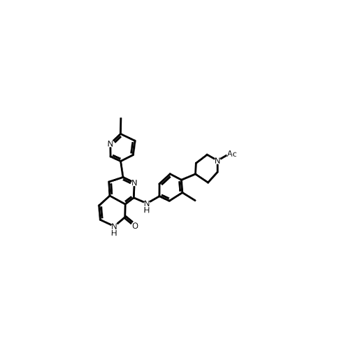 CC(=O)N1CCC(c2ccc(Nc3nc(-c4ccc(C)nc4)cc4cc[nH]c(=O)c34)cc2C)CC1